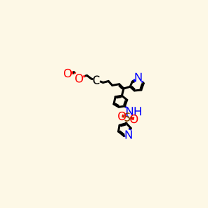 O=COCCCCCCC=C(c1cccnc1)c1cccc(NS(=O)(=O)c2cccnc2)c1